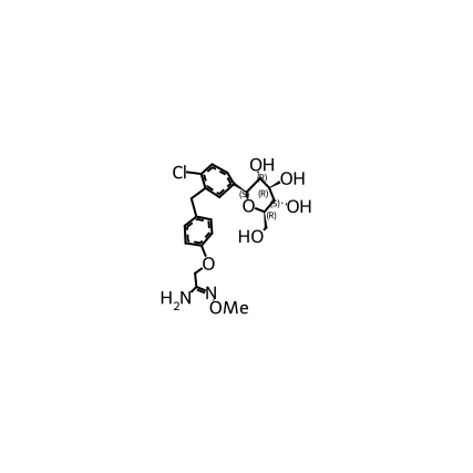 CON=C(N)COc1ccc(Cc2cc([C@@H]3O[C@H](CO)[C@@H](O)[C@H](O)[C@H]3O)ccc2Cl)cc1